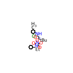 CCOC1C(=O)N(O/C(=C\C(=O)Nc2cc(C)ccc2Cl)C(C)(C)C)C(=O)N1Cc1ccccc1